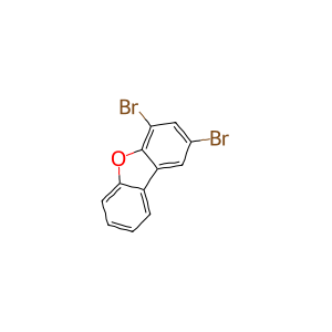 Brc1cc(Br)c2oc3ccccc3c2c1